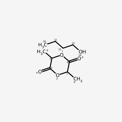 CC1OC(=O)C(C)OC1=O.CCCCO